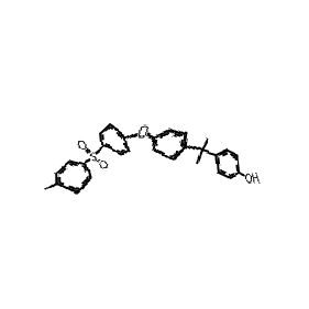 Cc1ccc(S(=O)(=O)c2ccc(Oc3ccc(C(C)(C)c4ccc(O)cc4)cc3)cc2)cc1